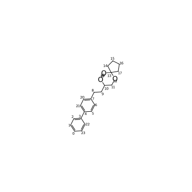 c1ccc(-c2ccc(CCC3COC4(CCCC4)OO3)cc2)cc1